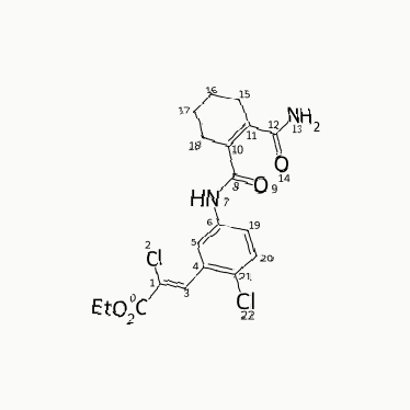 CCOC(=O)C(Cl)=Cc1cc(NC(=O)C2=C(C(N)=O)CCCC2)ccc1Cl